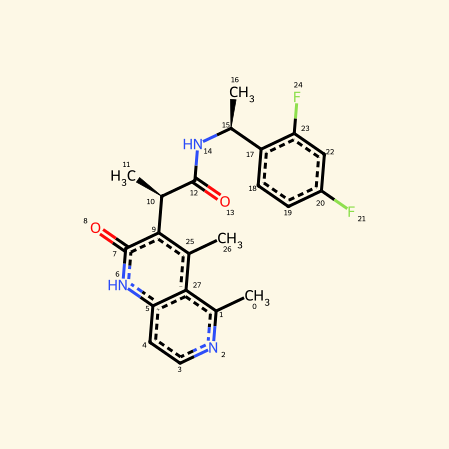 Cc1nccc2[nH]c(=O)c([C@@H](C)C(=O)N[C@@H](C)c3ccc(F)cc3F)c(C)c12